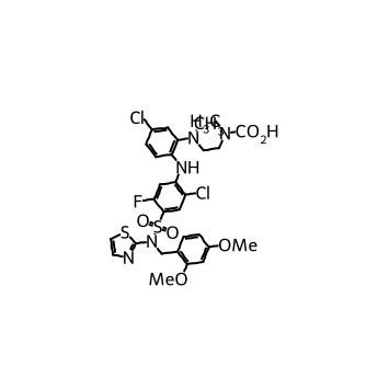 COc1ccc(CN(c2nccs2)S(=O)(=O)c2cc(Cl)c(Nc3ccc(Cl)cc3N(C)CCN(C)C(=O)O)cc2F)c(OC)c1